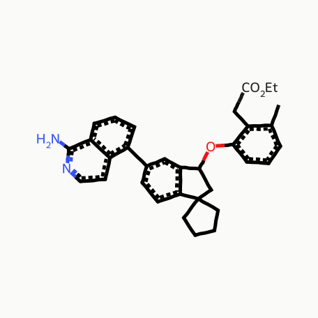 CCOC(=O)Cc1c(C)cccc1OC1CC2(CCCC2)c2ccc(-c3cccc4c(N)nccc34)cc21